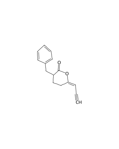 C#CC=C1CCC(Cc2ccccc2)C(=O)O1